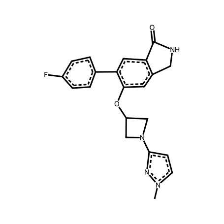 Cn1ccc(N2CC(Oc3cc4c(cc3-c3ccc(F)cc3)C(=O)NC4)C2)n1